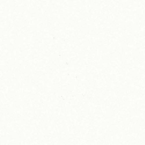 C=CCOC(=O)N1CC(/C=C(/Cc2cccc(-c3ccc(C(F)(F)F)cc3)n2)C(=O)OCC)C2(C1)CN(C(=O)OC(C)(C)C)C2